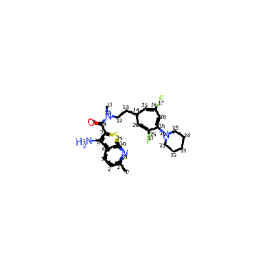 Cc1ccc2c(N)c(C(=O)N(C)CCC3C=C(F)C=C(N4CCCCC4)C(F)=C3)sc2n1